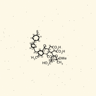 COC(C)(C)OC(CCC(=O)O)C(CC(=O)O)C(CC(=O)O)C(CC(=O)O)C(=O)c1ccc(C)c(Cc2ccc(-c3ccc(F)cc3)s2)c1